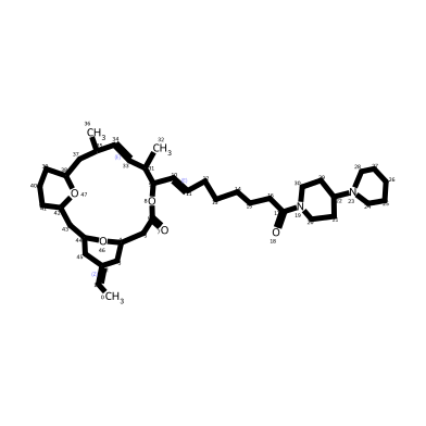 C/C=C1\CC2CC(=O)OC(/C=C/CCCCCC(=O)N3CCC(N4CCCCC4)CC3)C(C)/C=C/C(C)CC3CCCC(CC(C1)O2)O3